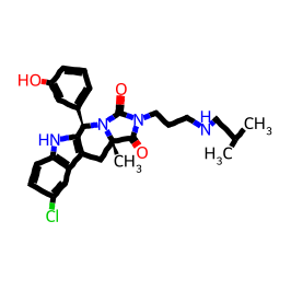 CC(C)CNCCCN1C(=O)N2[C@H](c3cccc(O)c3)c3[nH]c4ccc(Cl)cc4c3C[C@@]2(C)C1=O